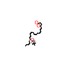 CC/C=C\C[C@@H](/C=C/C=C\C/C=C\C/C=C\C=C\C1CCC(=O)O1)O[Si](C)(C)C(C)(C)C